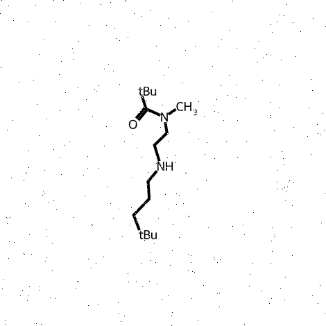 CN(CCNCCCC(C)(C)C)C(=O)C(C)(C)C